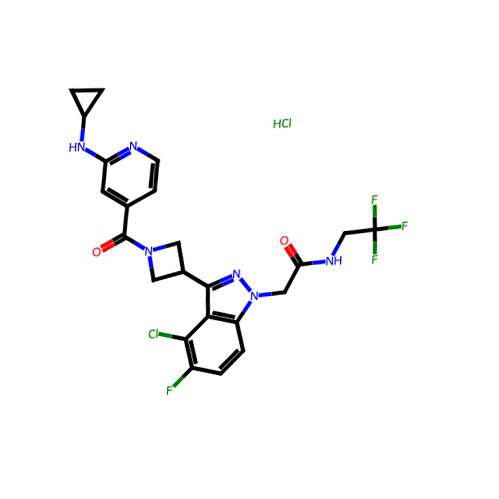 Cl.O=C(Cn1nc(C2CN(C(=O)c3ccnc(NC4CC4)c3)C2)c2c(Cl)c(F)ccc21)NCC(F)(F)F